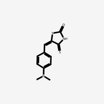 CN(C)c1ccc(C=C2SC(=O)NC2=S)cc1